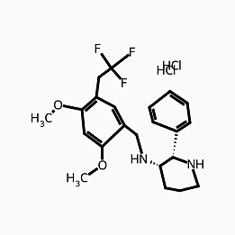 COc1cc(OC)c(CC(F)(F)F)cc1CN[C@H]1CCCN[C@H]1c1ccccc1.Cl.Cl